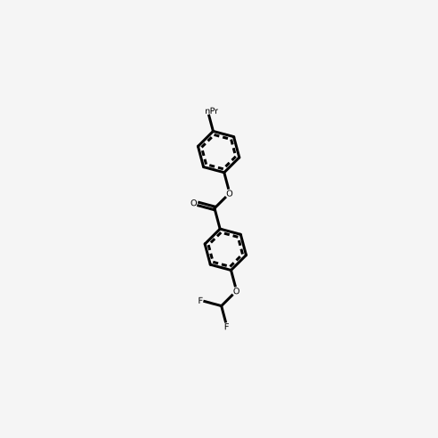 CCCc1ccc(OC(=O)c2ccc(OC(F)F)cc2)cc1